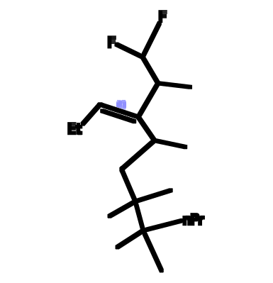 CC/C=C(\C(C)CC(C)(C)C(C)(C)CCC)C(C)C(F)F